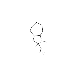 COCC1(C)CC2CCCCCC2N1C